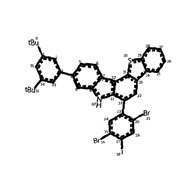 CC(C)(C)c1cc(-c2ccc3c(c2)[nH]c2c(-c4cc(Br)c(I)cc4Br)cc4c5ccccc5sc4c23)cc(C(C)(C)C)c1